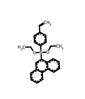 C=Cc1ccc([Si](OCC)(OCC)c2cc3ccccc3c3ccccc23)cc1